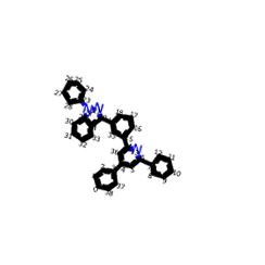 c1ccc(-c2cc(-c3ccccc3)nc(-c3cccc(-c4nn(-c5ccccc5)c5ccccc45)c3)c2)cc1